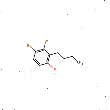 CCCCc1c(O)ccc(Br)c1Br